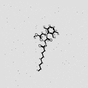 CCCCCCCCC(=O)SCC(=O)N(CC(=O)OC)c1c(C)ccc(C)c1C